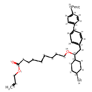 C=CCOC(=O)CCCCCCCCOC(Cc1ccc(-c2ccc(CCCCC)cc2)cc1)C1CCC(CCC)CC1